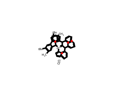 Cc1cc2c(cc1C(C)(C)C)-c1cc(C(C)(C)C)c(C)cc1[CH]2[Zr+2]([C]1=CC=CC1)=[C](C(c1ccccc1)c1ccccc1)C(c1ccccc1)c1ccccc1.[Cl-].[Cl-]